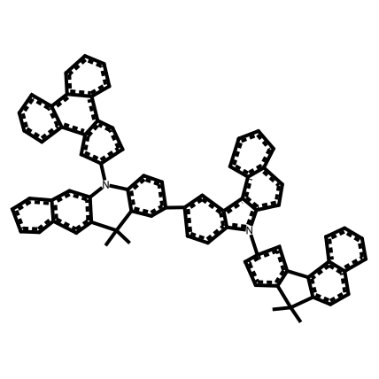 CC1(C)c2cc(-c3ccc4c(c3)c3c5ccccc5ccc3n4-c3ccc4c(c3)-c3c(ccc5ccccc35)C4(C)C)ccc2N(c2ccc3c4ccccc4c4ccccc4c3c2)c2cc3ccccc3cc21